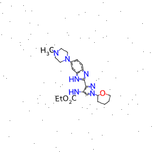 CCOC(=O)Nc1cn(C2CCCCO2)nc1-c1nc2ccc(N3CCN(C)CC3)cc2[nH]1